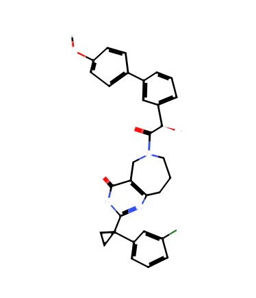 O=C([C@H](O)c1cccc(-c2ccc(OC(F)(F)F)cc2)c1)N1CCCc2nc(C3(c4cccc(Cl)c4)CC3)[nH]c(=O)c2C1